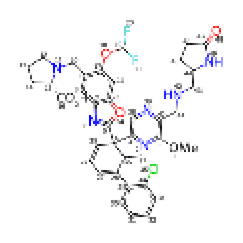 COc1nc(C2(c3nc4cc(CN5CCC[C@H]5C(=O)O)c(OC(F)F)cc4o3)C=CC=C(c3ccccc3Cl)C2C)cnc1CNCC1CCC(=O)N1